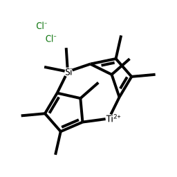 CC1=[C]2[Ti+2][C]3=C(C)C(C)=C(C3C)[Si](C)(C)C(=C1C)C2C.[Cl-].[Cl-]